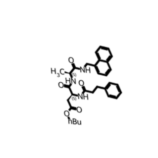 CCCCOC(=O)C[C@H](NC(=O)CCc1ccccc1)C(=O)N[C@@H](C)C(=O)NCc1cccc2ccccc12